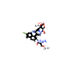 CC[C@@]1(O)C(=O)OCc2c1cc1n(c2=O)Cc2c-1nc1cc(F)c(C)c3c1c2[C@@H](NC(=O)[C@@H](N)COC=O)CC3